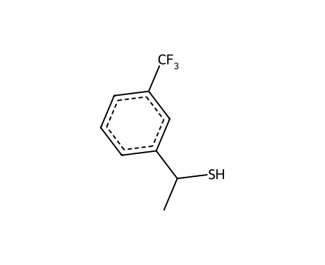 CC(S)c1cccc(C(F)(F)F)c1